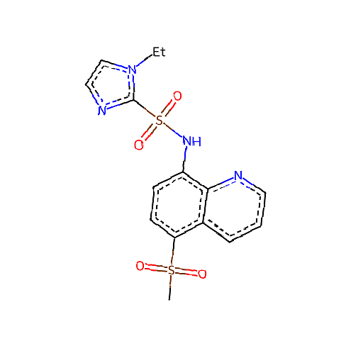 CCn1ccnc1S(=O)(=O)Nc1ccc(S(C)(=O)=O)c2cccnc12